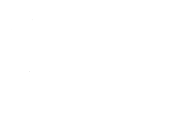 C=CC1(CCCOC(=O)C(=C)C)c2ccccc2-c2ccc(-c3c4ccccc4c(-c4ccc(CCCOC(=O)C(=C)C)cc4)c4ccccc34)cc21